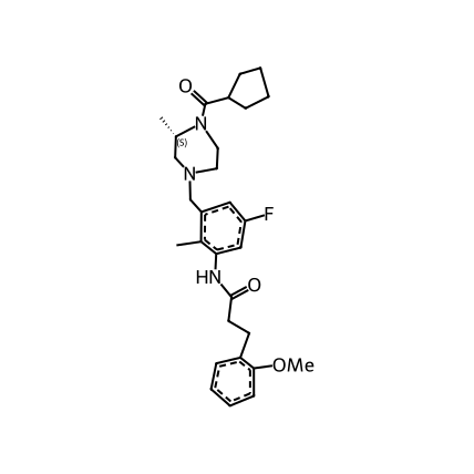 COc1ccccc1CCC(=O)Nc1cc(F)cc(CN2CCN(C(=O)C3CCCC3)[C@@H](C)C2)c1C